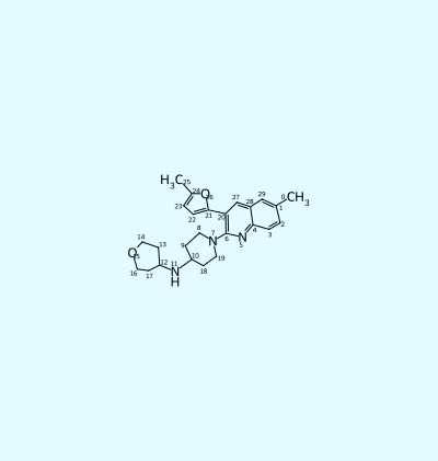 Cc1ccc2nc(N3CCC(NC4CCOCC4)CC3)c(-c3ccc(C)o3)cc2c1